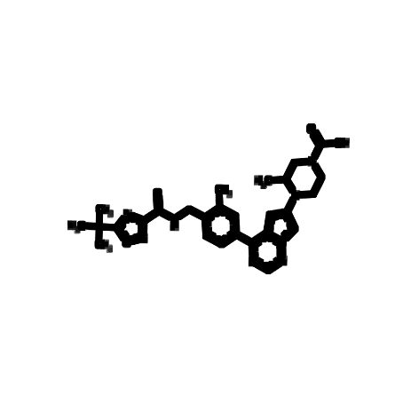 Cc1cc(-c2ncnn3cc(N4CCN(C(=O)O)CC4C)cc23)ccc1CNC(=O)c1noc(C(C)(C)C)n1